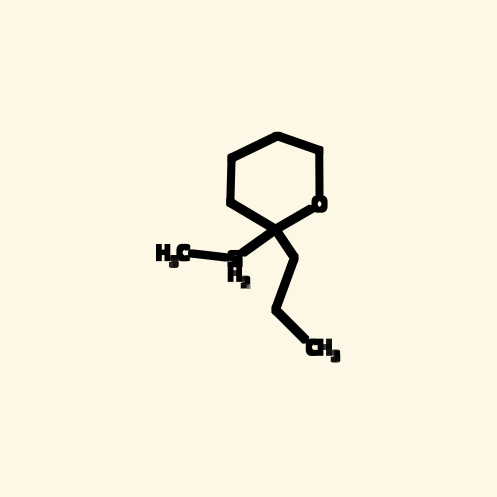 CCCC1([SiH2]C)CCCCO1